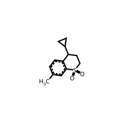 Cc1ccc2c(c1)S(=O)(=O)CCC2C1CC1